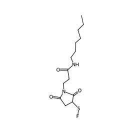 CCCCCCCNC(=O)CCN1C(=O)CC(SF)C1=O